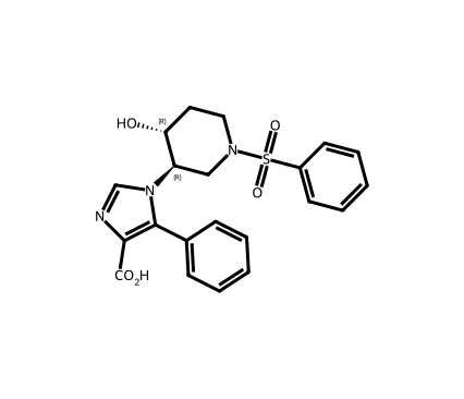 O=C(O)c1ncn([C@@H]2CN(S(=O)(=O)c3ccccc3)CC[C@H]2O)c1-c1ccccc1